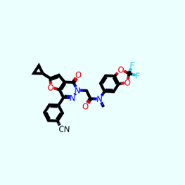 CN(C(=O)Cn1nc(-c2cccc(C#N)c2)c2oc(C3CC3)cc2c1=O)c1ccc2c(c1)OC(F)(F)O2